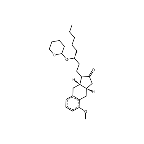 CCCCC[C@@H](CCC1C(=O)C[C@@H]2Cc3c(cccc3OC)C[C@H]12)OC1CCCCO1